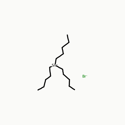 CCCC[CH2][Sn+]([CH2]CCCC)[CH2]CCCC.[Br-]